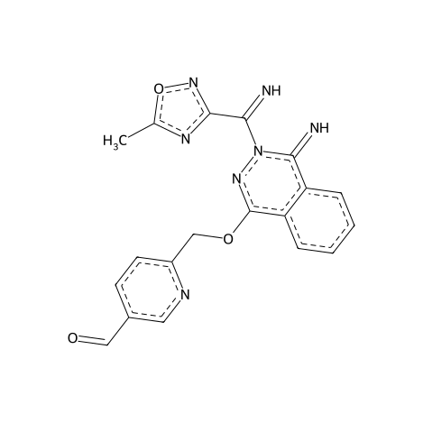 Cc1nc(C(=N)n2nc(OCc3ccc(C=O)cn3)c3ccccc3c2=N)no1